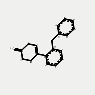 O=C1CC=C(c2ccccc2Cc2ccccc2)CC1